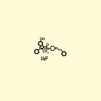 Cc1c(C(=O)NC2CCN(CCCc3ccccc3)CC2)c2cc(O)ccc2n1-c1ccccc1.Cl.O